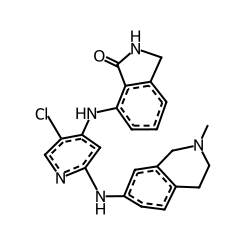 CN1CCc2ccc(Nc3cc(Nc4cccc5c4C(=O)NC5)c(Cl)cn3)cc2C1